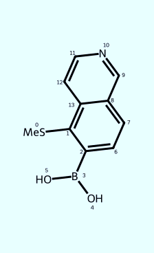 CSc1c(B(O)O)ccc2cnccc12